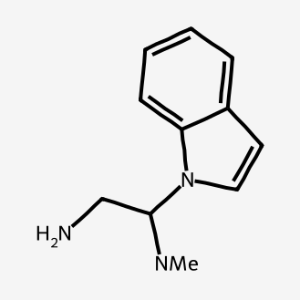 CNC(CN)n1ccc2ccccc21